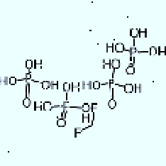 FCF.O=P(O)(O)O.O=P(O)(O)O.O=P(O)(O)O.O=P(O)(O)O